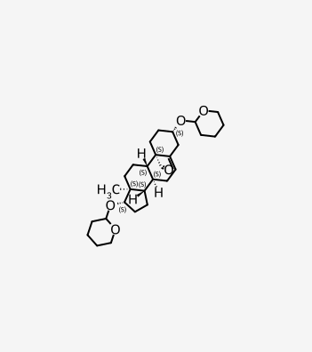 C[C@]12CC[C@H]3[C@@H](CC=C4C[C@@H](OC5CCCCO5)CC[C@@]43C=O)[C@@H]1CC[C@@H]2OC1CCCCO1